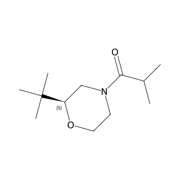 CC(C)C(=O)N1CCO[C@@H](C(C)(C)C)C1